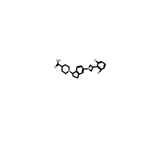 O=C(O)C1CCN(C2CCc3cc(N4CC(c5c(F)cccc5F)C4)ccc32)CC1